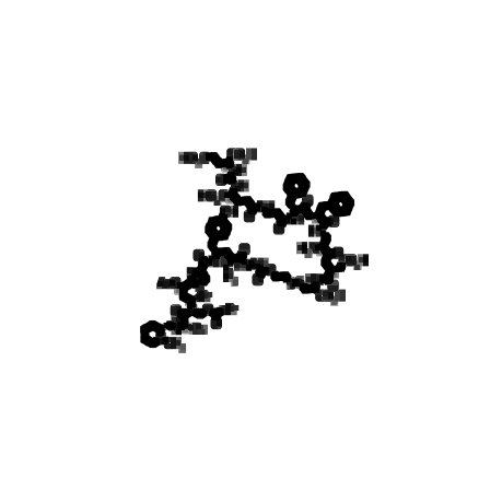 CCCC(=O)OCN(C(=O)[C@@H](NC[C@H]1CCCCN1C)C(C)CC)[C@H](C[C@@H](OC(C)=O)c1nc(C(=O)N[C@@H](Cc2ccc(O)cc2)C[C@H](C)C(=O)NNC(=O)OCCSSC[C@@H](NC(=O)[C@H](CC(=O)O)CC(=O)[C@@H](N)CNC(=O)[C@@H](CC(=O)[C@H](Cc2ccccc2)NC(=O)CCNC(=O)CC[C@H](NC(=O)N[C@@H](CCC(=O)O)C(=O)O)C(=O)O)Cc2ccccc2)C(=O)O)cs1)C(C)C